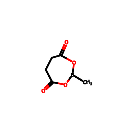 CB1OC(=O)CCC(=O)O1